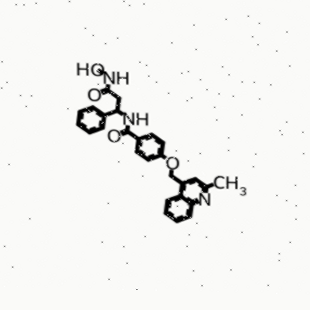 Cc1cc(COc2ccc(C(=O)NC(CC(=O)NO)c3ccccc3)cc2)c2ccccc2n1